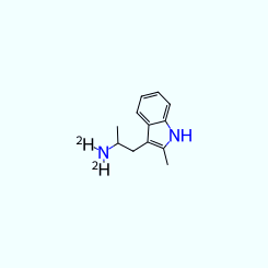 [2H]N([2H])C(C)Cc1c(C)[nH]c2ccccc12